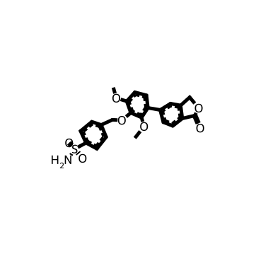 COc1ccc(-c2ccc3c(c2)COC3=O)c(OC)c1OCc1ccc(S(N)(=O)=O)cc1